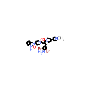 CN1CCC(C2CCN(C(=O)C(CC(=O)N3CCC(N4Cc5ccccc5NC4=O)CC3)Cc3cc(Br)c(N)c(Br)c3)CC2)CC1